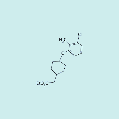 CCOC(=O)CC1CCC(Oc2cccc(Cl)c2C)CC1